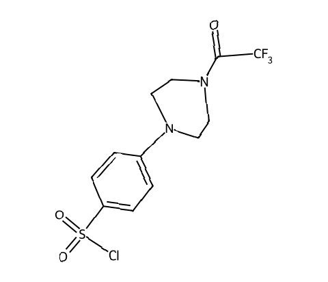 O=C(N1CCN(c2ccc(S(=O)(=O)Cl)cc2)CC1)C(F)(F)F